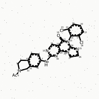 CC(=O)N1CCc2ccc(Nc3ncc4c(=O)n(-c5c(Cl)cccc5Cl)c5nccn5c4n3)cc2C1